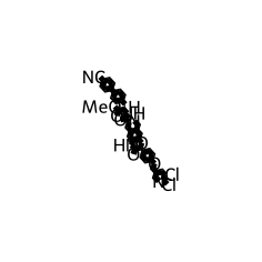 COC(=O)[C@H](Cc1ccc(-c2ccc(C#N)cc2)cc1)NC(=O)C1Cc2cc3c(cc2CN1)O[C@@H](c1ccc(OCc2cnc(Cl)c(Cl)c2)cc1)C(=O)N3